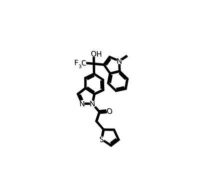 Cn1cc(C(O)(c2ccc3c(cnn3C(=O)CC3CC=CS3)c2)C(F)(F)F)c2ccccc21